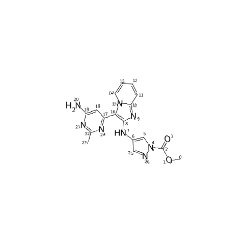 COC(=O)n1cc(Nc2nc3ccccn3c2-c2cc(N)nc(C)n2)cn1